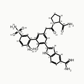 N=C(N)c1ccc2[nH]c(-c3cc(CC(=O)N4CCCC4C(N)=O)cc(-c4cc(S(N)(=O)=O)ccc4O)c3O)nc2c1